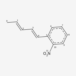 C/C=C/C=C/c1ccccc1[N+](=O)[O-]